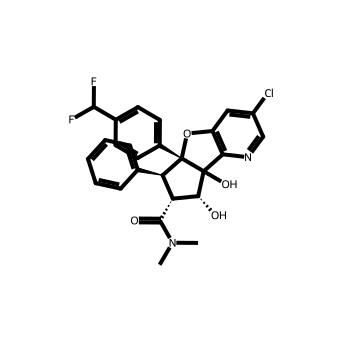 CN(C)C(=O)[C@H]1[C@@H](O)C2(O)c3ncc(Cl)cc3O[C@@]2(c2ccc(C(F)F)cc2)[C@@H]1c1ccccc1